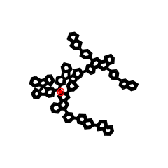 O=C(C1=CCC2C(=C1)C1(c3ccc(-c4ccc5c(c4)c(-c4ccc(-c6ccc7ccccc7c6)cc4)cc4c6ccccc6c(-c6ccc(-c7ccc8ccccc8c7)cc6)cc54)cc3-c3ccc(-c4ccc5c(c4)cc(-c4cccc(-c6ccc7cc(-c8ccc9ccccc9c8)ccc7c6)c4)c4ccccc45)cc31)c1ccccc12)c1ccc2c(c1)C1(c3ccccc3-c3ccccc31)c1ccccc1-2